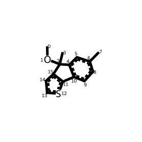 COC1(C)c2cc(C)ccc2-c2sccc21